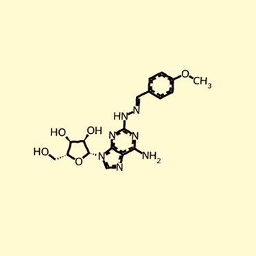 COc1ccc(C=NNc2nc(N)c3ncn([C@@H]4O[C@H](CO)[C@@H](O)[C@H]4O)c3n2)cc1